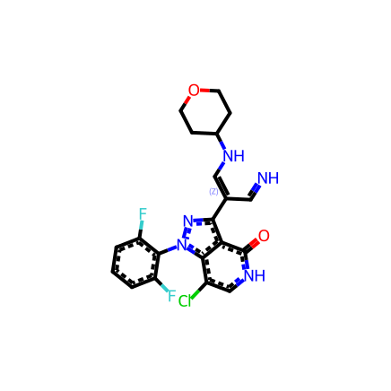 N=C/C(=C\NC1CCOCC1)c1nn(-c2c(F)cccc2F)c2c(Cl)c[nH]c(=O)c12